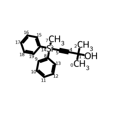 CC(C)(O)C#C[Si](C)(c1ccccc1)c1ccccc1